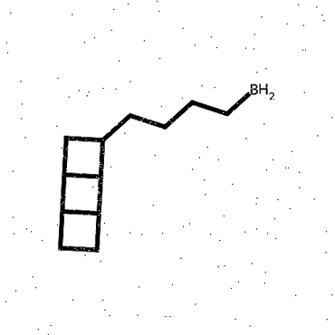 BCCCCC1CC2C3CCC3C12